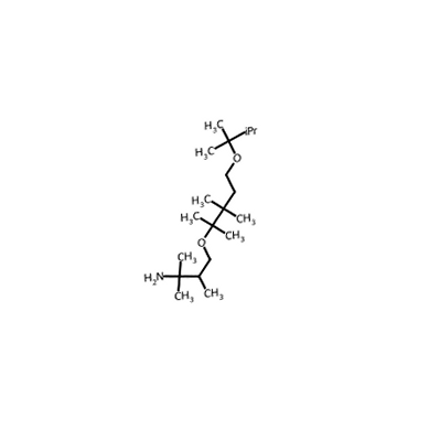 CC(COC(C)(C)C(C)(C)CCOC(C)(C)C(C)C)C(C)(C)N